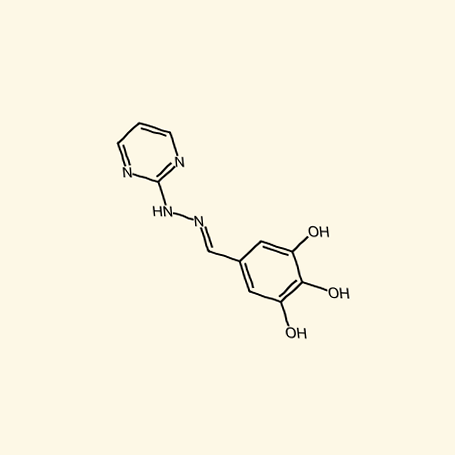 Oc1cc(/C=N/Nc2ncccn2)cc(O)c1O